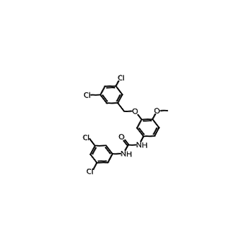 COc1ccc(NC(=O)Nc2cc(Cl)cc(Cl)c2)cc1OCc1cc(Cl)cc(Cl)c1